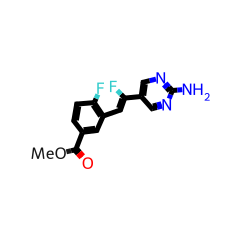 COC(=O)c1ccc(F)c(/C=C(\F)c2cnc(N)nc2)c1